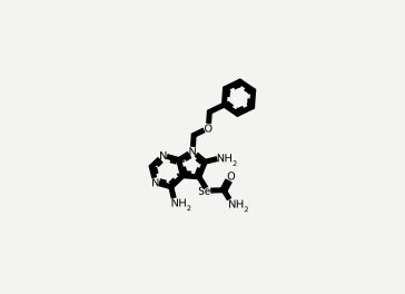 NC(=O)[Se]c1c(N)n(COCc2ccccc2)c2ncnc(N)c12